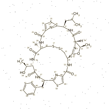 CC(C)C[C@H]1NC(=O)[C@H]2N=C(O[C@@H]2C)[C@@H]2CSSC[C@H](NC(=O)c3csc1n3)C(=O)N[C@@H]([C@H](C)O)C(=O)N[C@H](Cc1ccccc1)c1nc(cs1)C(=O)N2